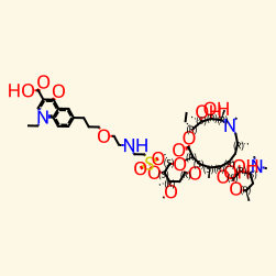 CC[C@H]1OC(=O)[C@H](C)[C@@H](O[C@H]2C[C@@](C)(OC)[C@@H](OS(=O)(=O)CCNCCOCCCc3ccc4c(c3)c(=O)c(C(=O)O)cn4CC)[C@H](C)O2)[C@H](C)[C@@H](O[C@@H]2O[C@H](C)C[C@H](N(C)C)[C@H]2O)[C@](C)(O)C[C@@H](C)CN(C)[C@H](C)[C@@H](O)[C@]1(C)O